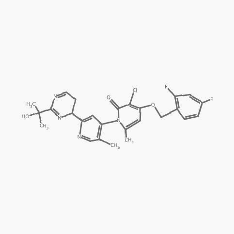 Cc1cnc(C2CC=NC(C(C)(C)O)=N2)cc1-n1c(C)cc(OCc2ccc(F)cc2F)c(Cl)c1=O